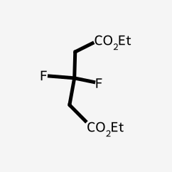 CCOC(=O)CC(F)(F)CC(=O)OCC